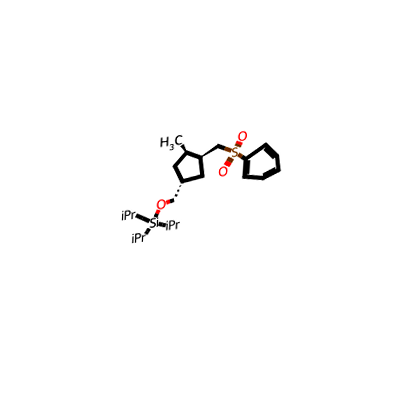 CC(C)[Si](OC[C@H]1C[C@H](CS(=O)(=O)c2ccccc2)[C@H](C)C1)(C(C)C)C(C)C